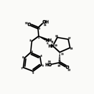 N[C@@H](Cc1ccccc1)C(=O)O.O=C(O)[C@H]1CCCN1